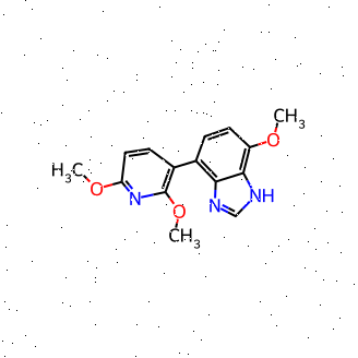 COc1ccc(-c2ccc(OC)c3[nH]cnc23)c(OC)n1